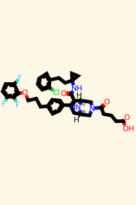 O=C(O)CCCC(=O)N1C[C@H]2CC(c3ccc(CCCOc4c(F)ccc(F)c4F)cc3)=C(C(=O)NC3(CCc4ccccc4Cl)CC3)[C@@H](C1)N2